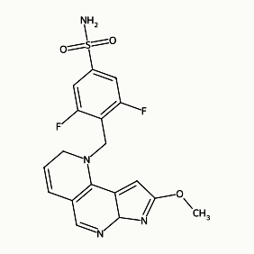 COC1=NC2N=CC3=C(C2=C1)N(Cc1c(F)cc(S(N)(=O)=O)cc1F)CC=C3